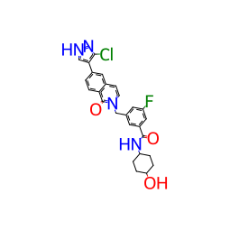 O=C(NC1CCC(O)CC1)c1cc(F)cc(Cn2ccc3cc(-c4c[nH]nc4Cl)ccc3c2=O)c1